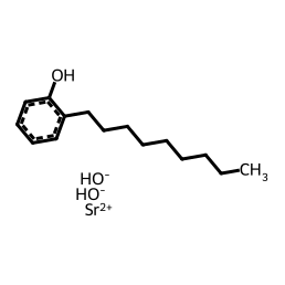 CCCCCCCCCc1ccccc1O.[OH-].[OH-].[Sr+2]